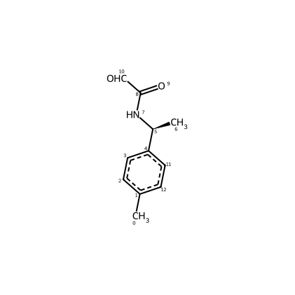 Cc1ccc([C@H](C)NC(=O)C=O)cc1